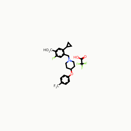 O=C(O)C(F)(F)F.O=C(O)c1cc(C2CC2)c(CN2CCC(Oc3ccc(C(F)(F)F)cc3)CC2)cc1F